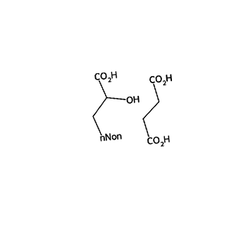 CCCCCCCCCCC(O)C(=O)O.O=C(O)CCC(=O)O